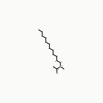 CCCCCCCCCCCCN(C)C(C)C